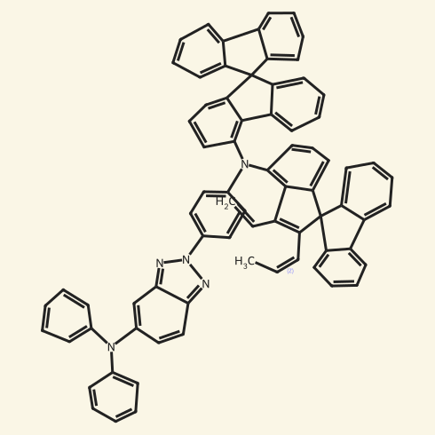 C=CC1=C(/C=C\C)C2(c3ccccc3-c3ccccc32)c2cccc(N(c3ccc(-n4nc5ccc(N(c6ccccc6)c6ccccc6)cc5n4)cc3)c3cccc4c3-c3ccccc3C43c4ccccc4-c4ccccc43)c21